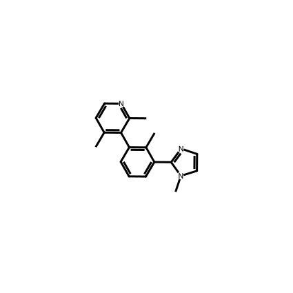 Cc1ccnc(C)c1-c1cccc(-c2nccn2C)c1C